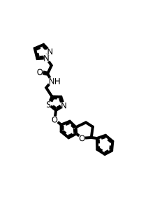 O=C(Cn1cccn1)NCc1cnc(Oc2ccc3c(c2)CCC(c2ccccc2)O3)s1